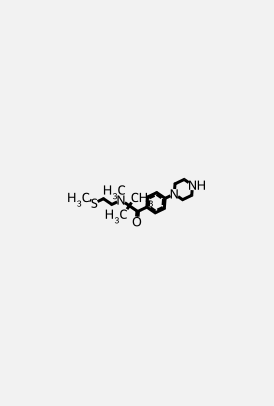 CSCCN(C)C(C)(C)C(=O)c1ccc(N2CCNCC2)cc1